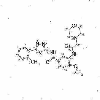 Cc1ncccc1-c1nnc(NC(=O)c2ccc(OC(F)(F)F)c(NC(=O)CN3CCOCC3)c2)s1